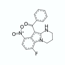 O=C(c1ccccc1)c1c2n(c3c(F)ccc([N+](=O)[O-])c13)CCCN2